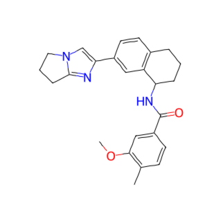 COc1cc(C(=O)NC2CCCc3ccc(-c4cn5c(n4)CCC5)cc32)ccc1C